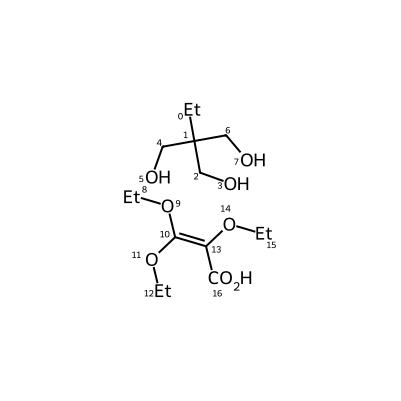 CCC(CO)(CO)CO.CCOC(OCC)=C(OCC)C(=O)O